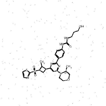 CC1C(c2cc(N3CCOC[C@@H]3C)nc(-c3ccc(NC(=O)NCCCO)cc3)n2)CC1S(=O)(=O)c1nccs1